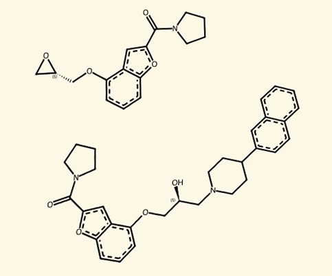 O=C(c1cc2c(OC[C@@H](O)CN3CCC(c4ccc5ccccc5c4)CC3)cccc2o1)N1CCCC1.O=C(c1cc2c(OC[C@@H]3CO3)cccc2o1)N1CCCC1